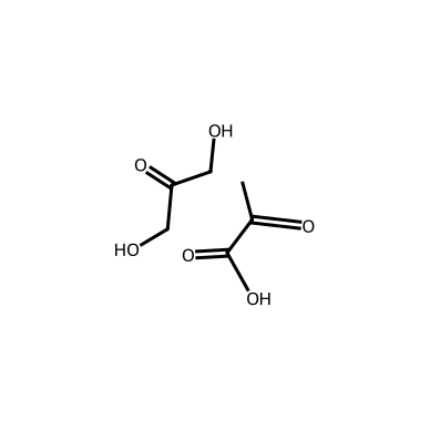 CC(=O)C(=O)O.O=C(CO)CO